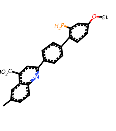 CCOc1ccc(-c2ccc(-c3cc(C(=O)O)c4cc(C)ccc4n3)cc2)c(P)c1